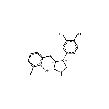 Oc1ccc([C@@H]2CNC[C@H]2Cc2cccc(F)c2O)cc1O